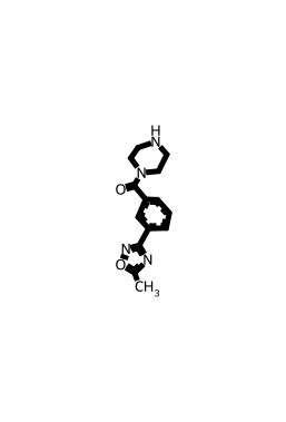 Cc1nc(-c2cccc(C(=O)N3CCNCC3)c2)no1